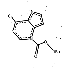 CC(C)(C)OC(=O)n1cnc(Cl)c2nccc1-2